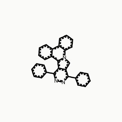 c1ccc(-c2nnc(-c3ccccc3)c3c2cn2c4ccccc4c4ccccc4c32)cc1